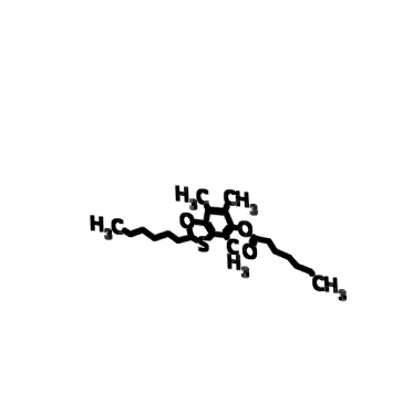 CCCCCCC(=O)Oc1c(C)c(C)c2c(c1C)SC(CCCCCC)O2